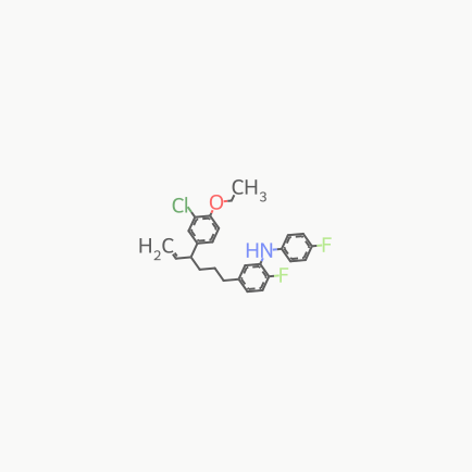 C=CC(CCCc1ccc(F)c(Nc2ccc(F)cc2)c1)c1ccc(OCC)c(Cl)c1